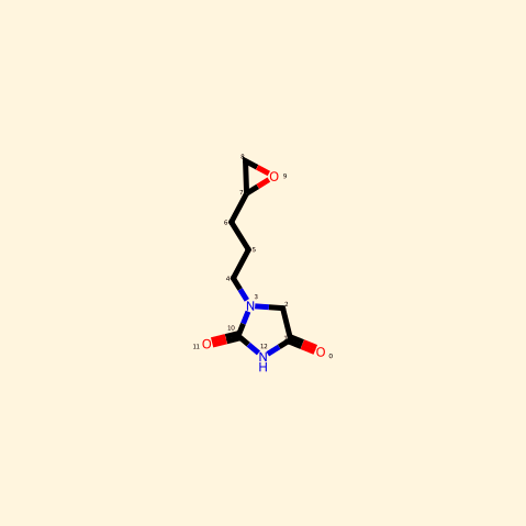 O=C1CN(CCCC2CO2)C(=O)N1